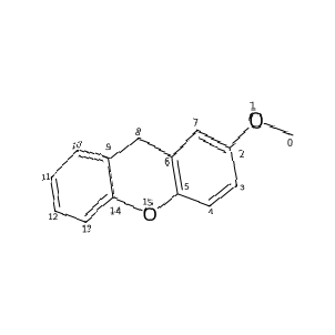 COc1ccc2c(c1)Cc1ccccc1O2